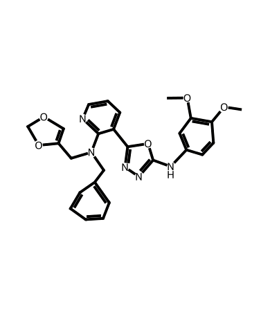 COc1ccc(Nc2nnc(-c3cccnc3N(CC3=COCO3)Cc3ccccc3)o2)cc1OC